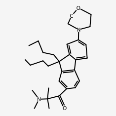 CCCCC1(CCCC)c2cc(C(=O)C(C)(C)N(C)C)ccc2-c2ccc(N3CCOCC3)cc21